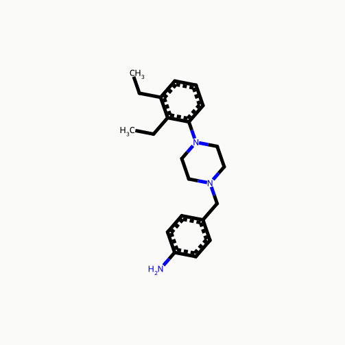 CCc1cccc(N2CCN(Cc3ccc(N)cc3)CC2)c1CC